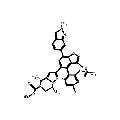 C[C@@H]1c2cc(-c3nc(-c4ccc5cn(C)nc5c4)c4scc(F)c4c3-c3c(F)cc(F)cc3OS(=O)(=O)C(F)(F)F)nn2[C@@H](C)CN1C(=O)OC(C)(C)C